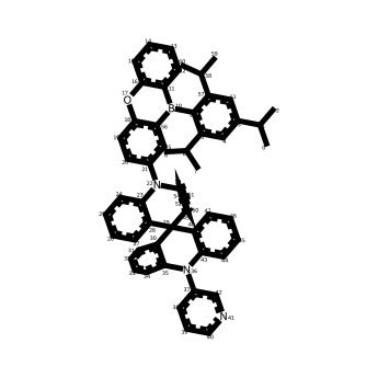 CC(C)c1cc(C(C)C)c(B2c3ccccc3Oc3ccc(N4c5ccccc5C5(c6ccccc6N(c6cccnc6)c6ccccc65)c5ccccc54)cc32)c(C(C)C)c1